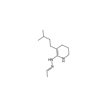 C/C=N/NC1=C(CCC(C)C)CCCN1